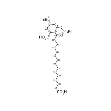 CCCCC(CC)CC(CC(CC)CCCC)C(CCCCCCCCCCCCCCC(=O)O)CC(=O)O